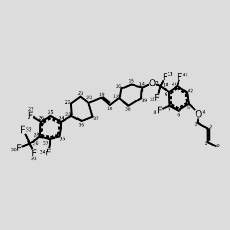 C/C=C/COc1cc(F)c(C(F)(F)OC2CCC(/C=C/C3CCC(c4cc(F)c(C(F)(F)F)c(F)c4)CC3)CC2)c(F)c1